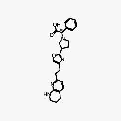 O=C(O)[C@@H](c1ccccc1)N1CCC(c2nc(CCc3ccc4c(n3)NCCC4)co2)C1